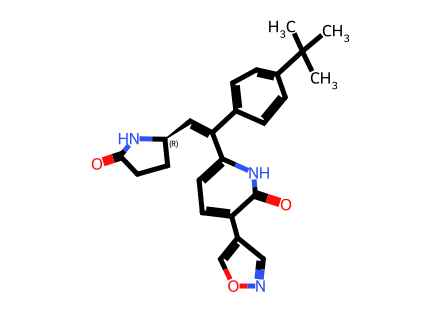 CC(C)(C)c1ccc(C(=C[C@H]2CCC(=O)N2)c2ccc(-c3cnoc3)c(=O)[nH]2)cc1